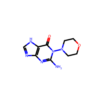 Nc1nc2nc[nH]c2c(=O)n1N1CCOCC1